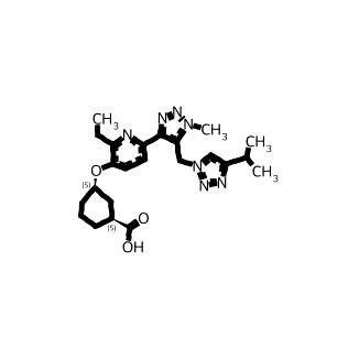 CCc1nc(-c2nnn(C)c2Cn2cc(C(C)C)nn2)ccc1O[C@H]1CCC[C@H](C(=O)O)C1